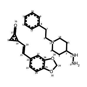 NNC1CCN(CCc2ccccc2)CC1.O=c1cc1C=Cc1ccc2c(c1)OCO2